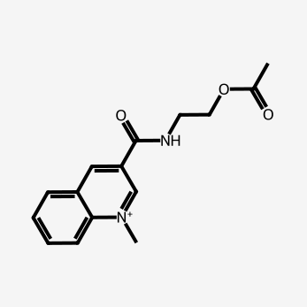 CC(=O)OCCNC(=O)c1cc2ccccc2[n+](C)c1